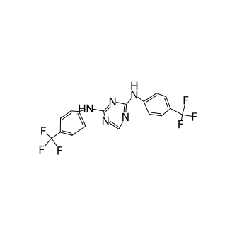 FC(F)(F)c1ccc(Nc2ncnc(Nc3ccc(C(F)(F)F)cc3)n2)cc1